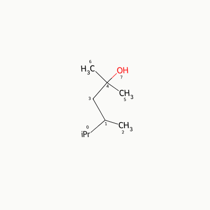 CC(C)C(C)CC(C)(C)O